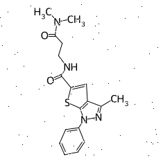 Cc1nn(-c2ccccc2)c2sc(C(=O)NCCC(=O)N(C)C)cc12